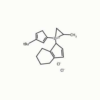 C[CH]1[CH2][Zr+2]1([C]1=CC(C(C)(C)C)=CC1)[CH]1C=CC2=C1CCCC2.[Cl-].[Cl-]